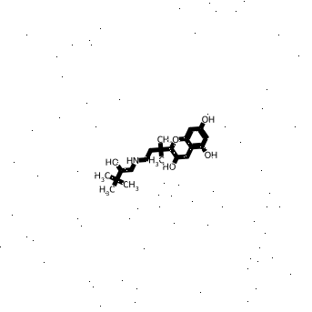 CC(C)(C)C(O)CNCCC(C)(C)C1Oc2cc(O)cc(O)c2CC1O